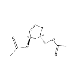 CC(=O)OC[C@H]1OC=C[C@@H]1OC(C)=O